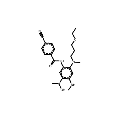 CCOCCCN(C)c1cc(NC)c(N(C)O)cc1NC(=O)c1ccc(C#N)cc1